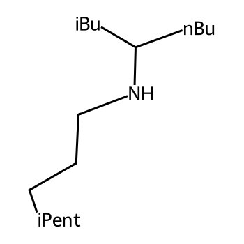 CCCCC(NCCCC(C)CCC)C(C)CC